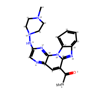 CNC(=O)c1cc2ncc(NN3CCN(C)CC3)nc2n2c1nc1ccccc12